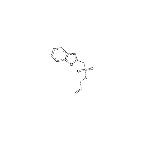 C=CCOS(=O)(=O)Cc1cc2ccccc2o1